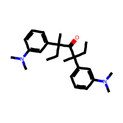 CCC(C)(C(=O)C(C)(CC)c1cccc(N(C)C)c1)c1cccc(N(C)C)c1